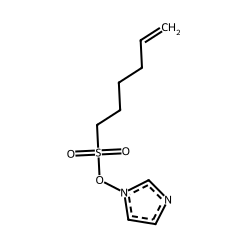 C=CCCCCS(=O)(=O)On1ccnc1